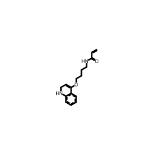 C=CC(=O)NCCCCOC1=CCNc2ccccc21